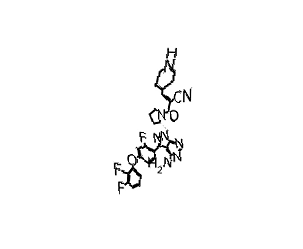 N#CC(=CC1CCNCC1)C(=O)N1CCC[C@H]1Cn1nc(-c2ccc(Oc3cccc(F)c3F)cc2F)c2c(N)ncnc21